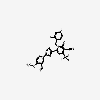 COc1ccc(-c2ccc(-c3cc(C(F)(F)F)c(C#N)c(=O)n3Cc3ccc(F)cc3F)s2)cc1C=O